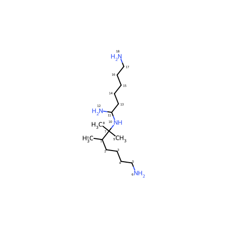 CC(CCCCN)C(C)(C)NC(N)CCCCCN